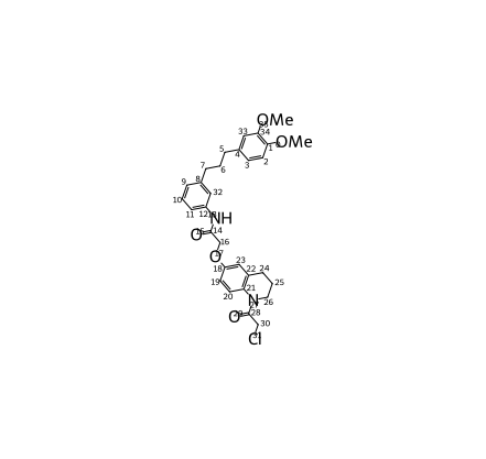 COc1ccc(CCCc2cccc(NC(=O)COc3ccc4c(c3)CCCN4C(=O)CCl)c2)cc1OC